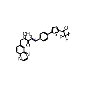 CN(Cc1ccc2nccnc2c1)C(=O)/C=C/c1ccc(-c2ccc(C(=O)C(F)(F)F)s2)cc1